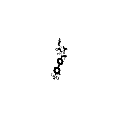 CC(C)C[C@H](N[C@@H](c1ccc(-c2ccc(S(C)(=O)=O)c(F)c2)cc1)C(F)(F)F)C(=O)NCC#N